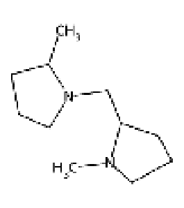 CC1CCCN1CC1CCCN1C